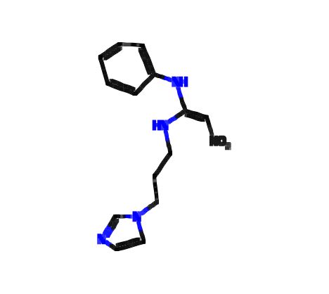 O=[N+]([O-])/C=C(\NCCCn1ccnc1)Nc1ccccc1